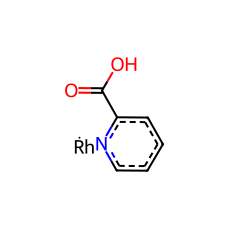 O=C(O)c1ccccn1.[Rh]